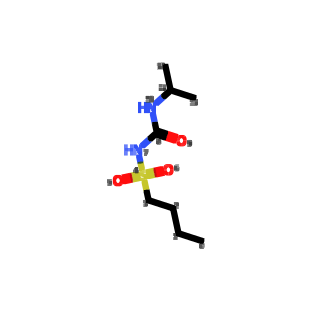 CCCCS(=O)(=O)NC(=O)NC(C)C